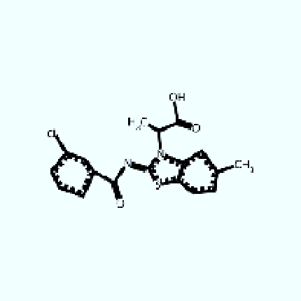 Cc1ccc2sc(=NC(=O)c3cccc(Cl)c3)n(C(C)C(=O)O)c2c1